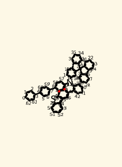 c1ccc(-c2ccc(-c3ccc(N(c4ccc5c(c4)C4(c6ccccc6-c6ccccc64)c4ccccc4-5)c4ccccc4-c4ccc5sc6ccccc6c5c4)cc3)cc2)cc1